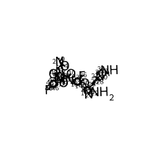 CN(C)C(=O)Cn1cc(C(=O)Nc2ccc(Oc3ccnc(N)c3C#CC(C)(C)N3CCNCC3)c(F)c2)c(=O)n(-c2ccc(F)cc2)c1=O